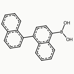 OB(O)c1ccc(-c2cccc3ccccc23)c2ccccc12